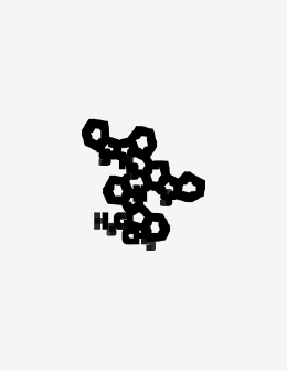 CC1(C)c2ccccc2-c2c1c1cccc3c1n2-c1c2c(cc4c1sc1ccccc14)-c1cccc4c5c6ccccc6sc5n(c14)B23